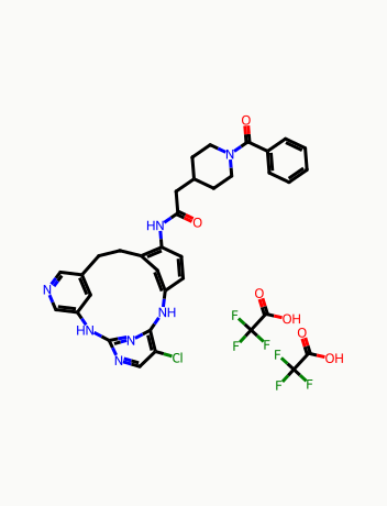 O=C(CC1CCN(C(=O)c2ccccc2)CC1)Nc1ccc2cc1CCc1cncc(c1)Nc1ncc(Cl)c(n1)N2.O=C(O)C(F)(F)F.O=C(O)C(F)(F)F